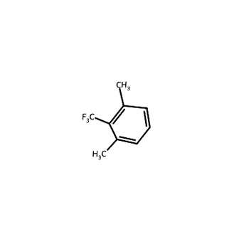 Cc1cccc(C)c1C(F)(F)F